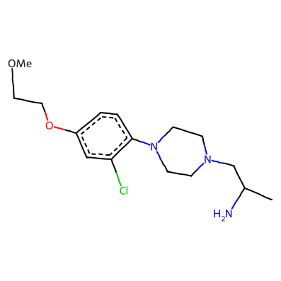 COCCOc1ccc(N2CCN(CC(C)N)CC2)c(Cl)c1